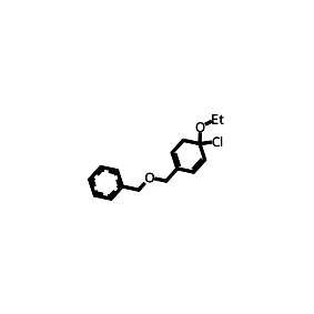 CCOC1(Cl)C=CC(COCc2ccccc2)=CC1